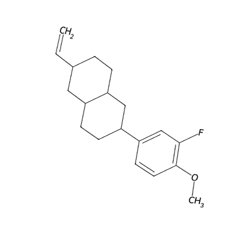 C=CC1CCC2CC(c3ccc(OC)c(F)c3)CCC2C1